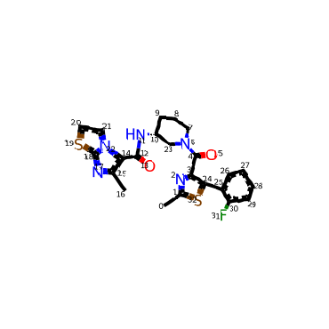 Cc1nc(C(=O)N2CCC[C@@H](NC(=O)c3c(C)nc4sccn34)C2)c(-c2ccccc2F)s1